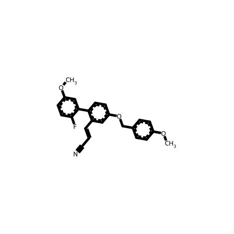 COc1ccc(COc2ccc(-c3cc(OC)ccc3F)c(/C=C/C#N)c2)cc1